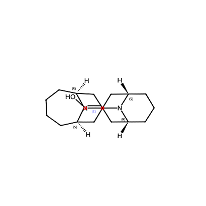 O/N=C1/C[C@H]2CCC[C@@H](C1)N2C1C[C@H]2CCCC[C@@H](C1)C2